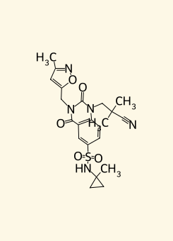 Cc1cc(Cn2c(=O)c3cc(S(=O)(=O)NC4(C)CC4)ccc3n(CC(C)(C)C#N)c2=O)on1